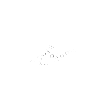 COc1ccc(OC)c(CC(=O)Nc2ccc(C(=O)N(CC(=O)OC(C)(C)C)Cc3ccc(C(=O)NC(=N)c4ccc(-c5ccc(C)cc5)cc4)cc3)cc2)c1